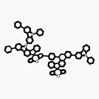 C1=CCC(c2ccc3c(c2)c2ccc4c(c2n3-c2ccc3c(c2)c2cc(-c5ccccc5)ccc2n3-c2ccccc2)-c2ccccc2C42C3=C(C=C(c4ccc(C5Cc6ccc(-c7ccc8c(c7)c7ccccc7n8-c7ccccc7)cc6-c6ccc7c(c65)-c5ccccc5C75c6ccccc6Oc6ccccc65)cc4)CC3)Oc3ccccc32)C=C1